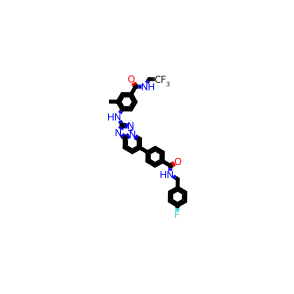 Cc1cc(C(=O)NCC(F)(F)F)ccc1Nc1nc2ccc(-c3ccc(C(=O)NCc4ccc(F)cc4)cc3)cn2n1